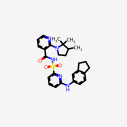 CC1CCN(c2ncccc2C(=O)NS(=O)(=O)c2cccc(Nc3ccc4c(c3)CCC4)n2)C1(C)C